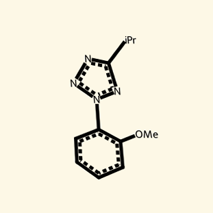 COc1ccccc1-n1nnc(C(C)C)n1